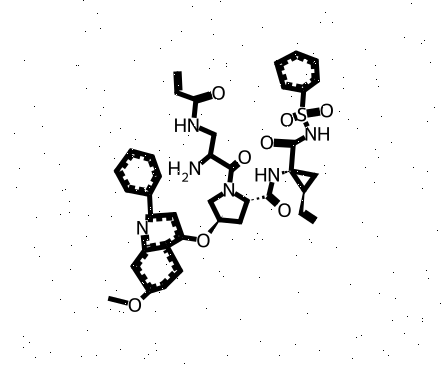 C=CC(=O)NCC(N)C(=O)N1C[C@H](Oc2cc(-c3ccccc3)nc3cc(OC)ccc23)C[C@H]1C(=O)N[C@]1(C(=O)NS(=O)(=O)c2ccccc2)C[C@H]1C=C